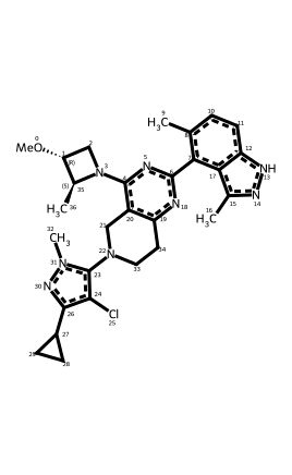 CO[C@@H]1CN(c2nc(-c3c(C)ccc4[nH]nc(C)c34)nc3c2CN(c2c(Cl)c(C4CC4)nn2C)CC3)[C@H]1C